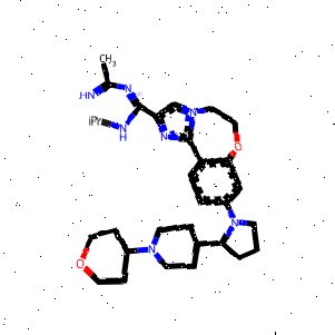 CC(=N)/N=C(\NC(C)C)c1cn2c(n1)-c1ccc(N3CCCC3C3CCN(C4CCOCC4)CC3)cc1OCC2